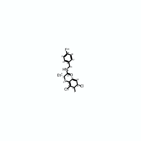 CC[C@@H](SC1=C(Cl)C(C)[C@H](Cl)C=C1)C(=O)NCc1ccc(F)cc1